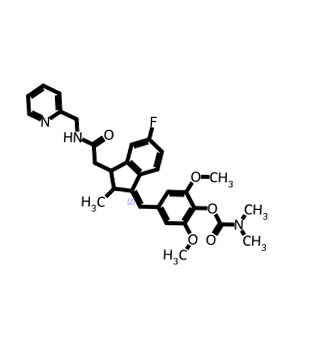 COc1cc(/C=C2\c3ccc(F)cc3C(CC(=O)NCc3ccccn3)C2C)cc(OC)c1OC(=O)N(C)C